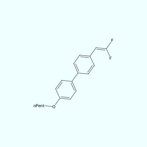 CCCCCOc1ccc(-c2ccc(C=C(F)F)cc2)cc1